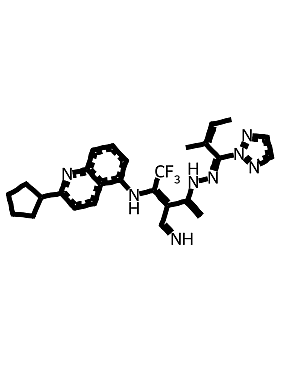 C=C(N/N=C(\C(C)=C/C)n1nccn1)/C(C=N)=C(/Nc1cccc2nc(C3CCCC3)ccc12)C(F)(F)F